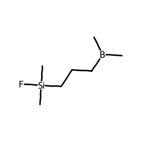 CB(C)CCC[Si](C)(C)F